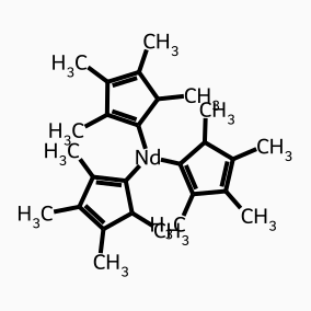 CC1=C(C)C(C)[C]([Nd]([C]2=C(C)C(C)=C(C)C2C)[C]2=C(C)C(C)=C(C)C2C)=C1C